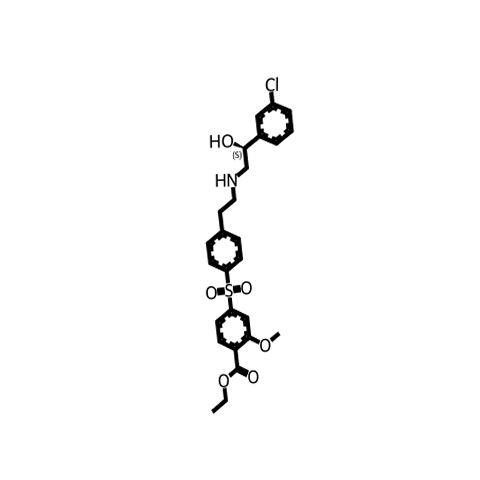 CCOC(=O)c1ccc(S(=O)(=O)c2ccc(CCNC[C@@H](O)c3cccc(Cl)c3)cc2)cc1OC